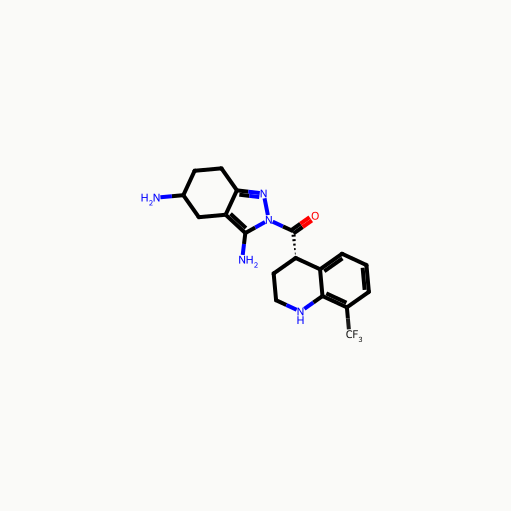 Nc1c2c(nn1C(=O)[C@H]1CCNc3c1cccc3C(F)(F)F)CCC(N)C2